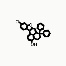 Oc1ccc2c3c(cc4oc5cc(Cl)ccc5c42)C(c2ccccc2)(c2ccccc2)CCc13